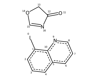 Ic1cccc2cccnc12.O=C1COC=N1